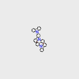 c1ccc(-n2c3ccccc3c3ccccc32)c(-c2ccccc2-n2c3c(c4ccccc42)C=C(n2c4ccccc4c4ccccc42)CC3)c#1